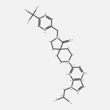 O=C1N(Cc2cnc(C(F)(F)F)cn2)CCC12CCN(c1cnc3cnn(CC(F)F)c3n1)CC2